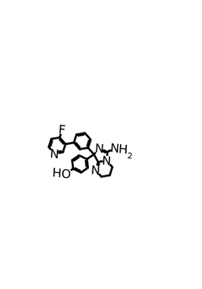 NC1=NC(c2ccc(O)cc2)(c2cccc(-c3cnccc3F)c2)C2=NCCCN12